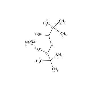 CC(C)(C)C([O-])CC([O-])C(C)(C)C.[Na+].[Na+]